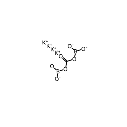 O=C(OB([O-])[O-])OB([O-])[O-].[K+].[K+].[K+].[K+]